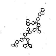 c1cc(-c2ccc(-c3ccc4c(c3)c3ccccc3n4-c3cccc(N(c4ccc(-c5ccc6c(c5)oc5ccccc56)cc4)c4ccc(-c5cccc6ccccc56)cc4)c3)c3ccccc23)cc(N(c2ccc(-c3ccc4c(c3)oc3ccccc34)cc2)c2cccc(-n3c4ccccc4c4ccccc43)c2)c1